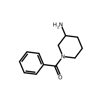 NC1CCCN(C(=O)c2ccccc2)C1